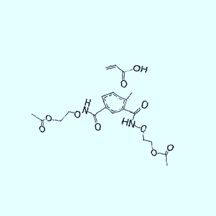 C=CC(=O)O.CC(=O)OCCONC(=O)c1ccc(C)c(C(=O)NOCCOC(C)=O)c1